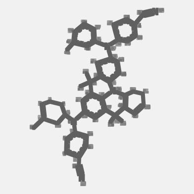 CC1=CCCC(N(c2ccc(C#N)cc2)c2cc3c4c(c2)C(C)(C)c2cc(N(c5ccc(C#N)cc5)c5cccc(C)c5)ccc2N4C2=C(C=CCC2)C3(C)C)C1